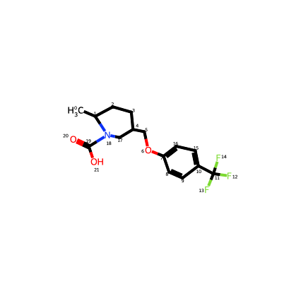 CC1CCC(COc2ccc(C(F)(F)F)cc2)CN1C(=O)O